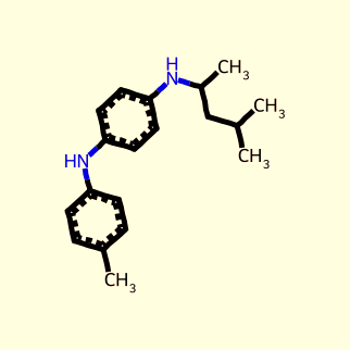 Cc1ccc(Nc2ccc(NC(C)CC(C)C)cc2)cc1